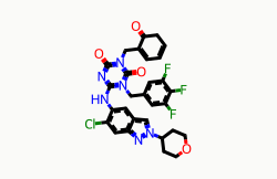 O=C1CC=CC=C1Cn1c(=O)nc(Nc2cc3cn(C4CCOCC4)nc3cc2Cl)n(Cc2cc(F)c(F)c(F)c2)c1=O